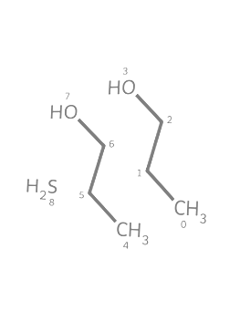 CCCO.CCCO.S